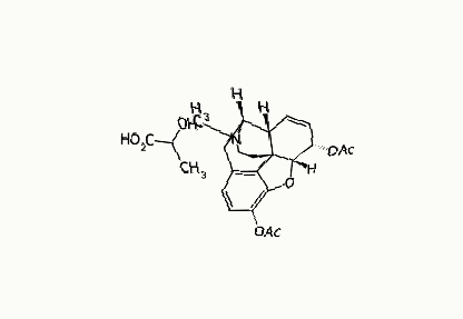 CC(=O)Oc1ccc2c3c1O[C@H]1[C@@H](OC(C)=O)C=C[C@H]4[C@@H](C2)N(C)CC[C@@]341.CC(O)C(=O)O